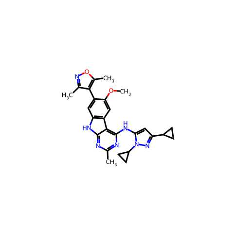 COc1cc2c(cc1-c1c(C)noc1C)[nH]c1nc(C)nc(Nc3cc(C4CC4)nn3C3CC3)c12